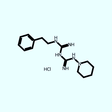 Cl.N=C(NCCc1ccccc1)NC(=N)NN1CCCCC1